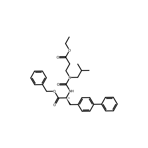 CCOC(=O)CCN(CC(C)C)C(=O)N[C@@H](Cc1ccc(-c2ccccc2)cc1)C(=O)OCc1ccccc1